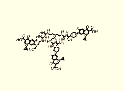 CCN(CCNC(=N)NC(=N)NCCN(CCNC(=N)NC(=N)N1CCN(c2cc3c(cc2F)c(=O)c(C(=O)O)cn3C2CC2)CC1)CCNC(=N)NC(=N)N1CCN(c2cc3c(cc2F)c(=O)c(C(=O)O)cn3C2CC2)CC1)c1cc2c(cc1F)c(=O)c(C(=O)O)cn2C1CC1